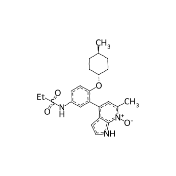 CCS(=O)(=O)Nc1ccc(O[C@H]2CC[C@H](C)CC2)c(-c2cc(C)[n+]([O-])c3[nH]ccc23)c1